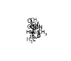 COc1cccc(CC(C)CC(=O)c2c[nH]c([C@@H]3C[C@@H](O)CC3CC(=O)C(CCC(C)=O)C(C)(C)C)n2)c1